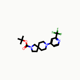 CC(C)(C)OC(=O)N1CCC2(CCN(c3ccnc(C(F)(F)F)c3)CC2)C1